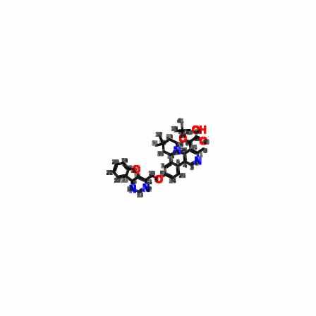 Cc1ncc(-c2ccc(OCc3ncnc4c3oc3ccccc34)cc2)c(N2CCC(C)(C)CC2)c1[C@H](OC(C)(C)C)C(=O)O